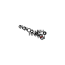 Nc1nc(Nc2ccc3c(c2)CCC(N2CCC(N4CCCC4)CC2)CC3)nn1-c1cc(-c2ccccc2)c2c(n1)C1CCN2CC1